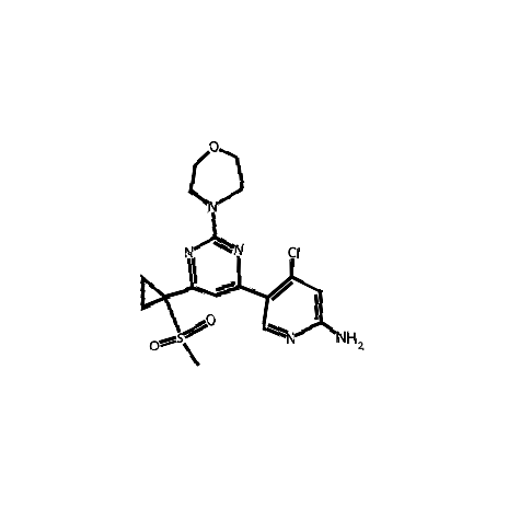 CS(=O)(=O)C1(c2cc(-c3cnc(N)cc3Cl)nc(N3CCOCC3)n2)CC1